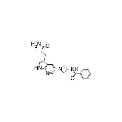 NC(=O)/C=C/c1c[nH]c2ncc(N3CC(NC(=O)c4ccccc4)C3)cc12